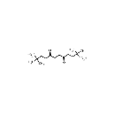 CC(C)(CCC(=O)CCC(=O)CCC(C)(C)C(=O)O)C(=O)O